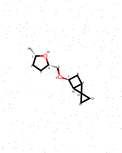 C[C@H]1CC[C@@H](CO[C@H]2CC3C2C32CC2)O1